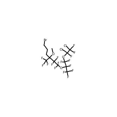 COC(CCCBr)(C(F)(F)F)C(F)(F)C(F)(F)OC(F)(C(F)(F)F)C(F)(F)OC(F)(Cl)C(F)(F)Cl